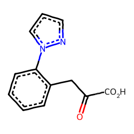 O=C(O)C(=O)Cc1ccccc1-n1cccn1